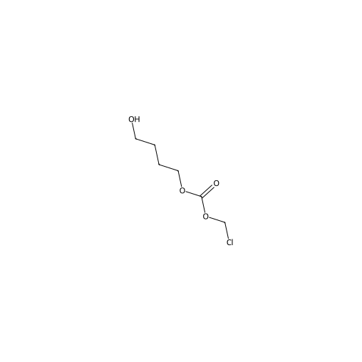 O=C(OCCl)OCCCCO